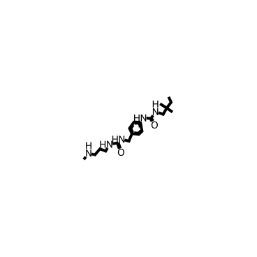 CCC(C)(C)CNC(=O)Nc1ccc(CNC(=O)NCCCNC)cc1